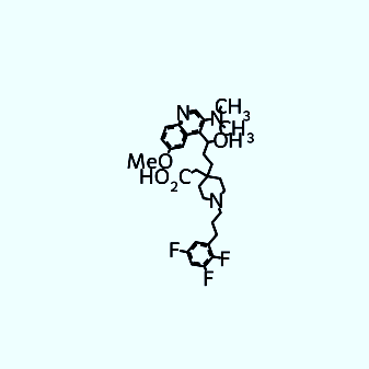 COc1ccc2ncc(N(C)C)c(C(O)CCC3(CC(=O)O)CCN(CCCc4cc(F)cc(F)c4F)CC3)c2c1